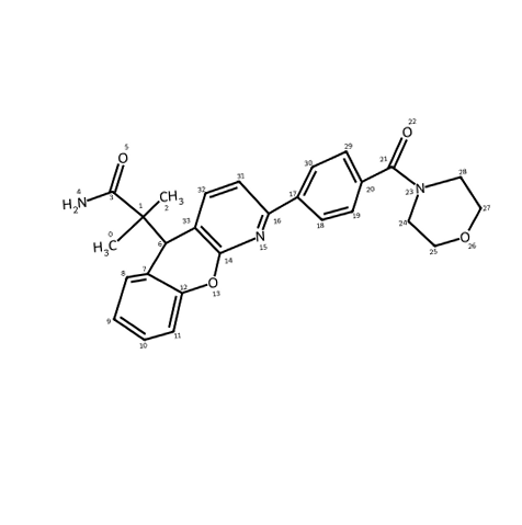 CC(C)(C(N)=O)C1c2ccccc2Oc2nc(-c3ccc(C(=O)N4CCOCC4)cc3)ccc21